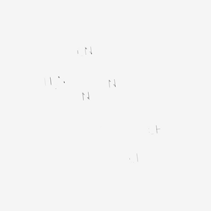 N#Cc1cnc(-c2ccc(Cl)c(C(F)(F)F)c2)nc1N